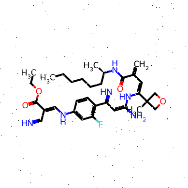 C=C(/C=C(\N/C(N)=C\C(=N)c1ccc(N/C=C(\C=N)C(=O)OCC)cc1F)C1(C)COC1)C(=O)N[C@H](C)CCCCCC